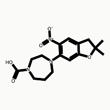 CC1(C)Cc2cc([N+](=O)[O-])c(N3CCCN(C(=O)O)CC3)cc2O1